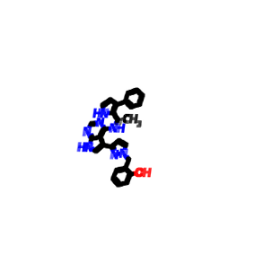 C[C@H](Nc1ncnc2[nH]cc(-c3ccn(Cc4ccccc4O)n3)c12)c1[nH]ccc1-c1ccccc1